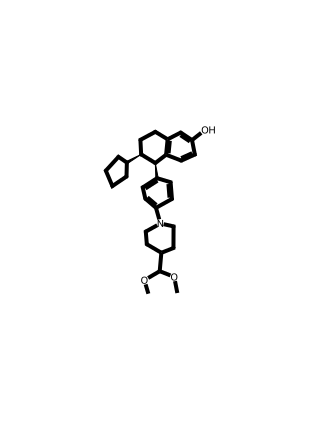 COC(OC)C1CCN(c2ccc([C@@H]3c4ccc(O)cc4CC[C@@H]3C3CCCC3)cc2)CC1